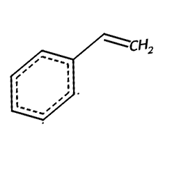 C=Cc1[c][c]ccc1